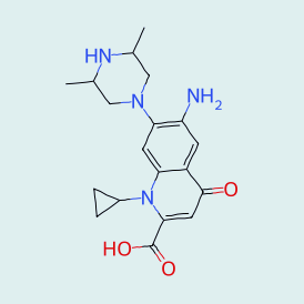 CC1CN(c2cc3c(cc2N)c(=O)cc(C(=O)O)n3C2CC2)CC(C)N1